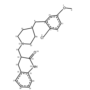 COc1ccc(Cl)c(CC2CCN(CC3Cc4ccccc4NC3=O)CC2)c1